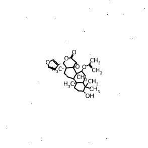 C=C(C)O[C@H]1CC2C(C)(C)[C@@H](O)CC[C@]2(C)C2CC[C@@]3(C)[C@H](c4ccoc4)OC(=O)C4OC43[C@@]21C